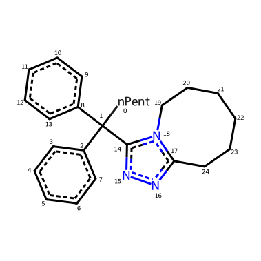 CCCCCC(c1ccccc1)(c1ccccc1)c1nnc2n1CCCCCC2